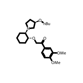 CCCCO[C@@H]1CCN([C@@H]2CCCC[C@H]2OCC(=O)c2ccc(OC)c(OC)c2)C1